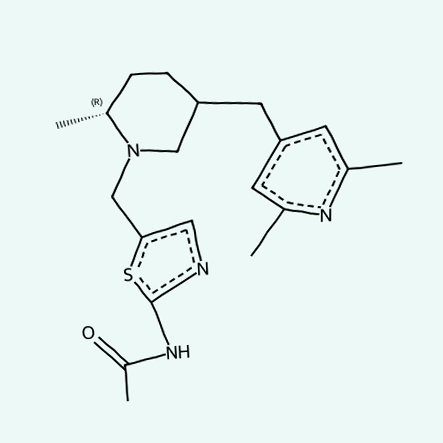 CC(=O)Nc1ncc(CN2CC(Cc3cc(C)nc(C)c3)CC[C@H]2C)s1